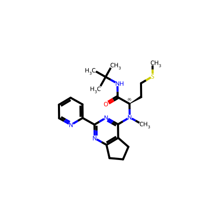 CSCC[C@H](C(=O)NC(C)(C)C)N(C)c1nc(-c2ccccn2)nc2c1CCC2